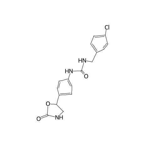 O=C(NCc1ccc(Cl)cc1)Nc1ccc(C2CNC(=O)O2)cc1